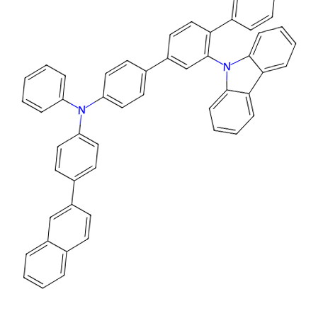 c1ccc(-c2ccc(-c3ccc(N(c4ccccc4)c4ccc(-c5ccc6ccccc6c5)cc4)cc3)cc2-n2c3ccccc3c3ccccc32)cc1